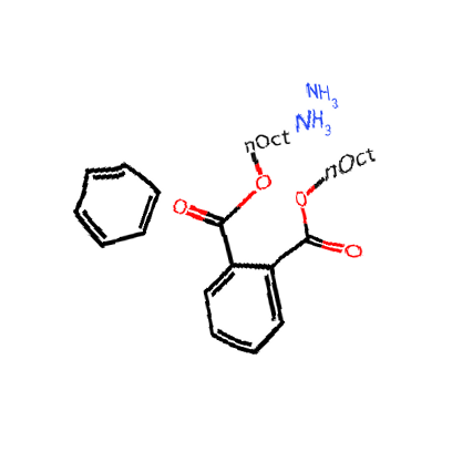 CCCCCCCCOC(=O)c1ccccc1C(=O)OCCCCCCCC.N.N.c1ccccc1